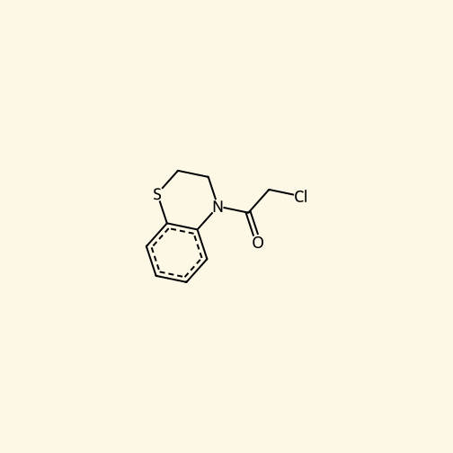 O=C(CCl)N1CCSc2ccccc21